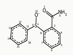 NC(=O)c1ccccc1[S+]([O-])c1ccccc1